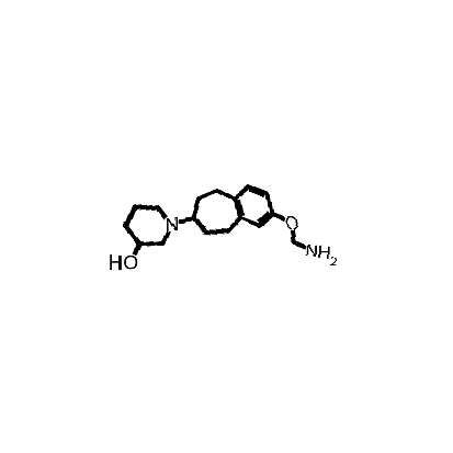 NCOc1ccc2c(c1)CCC(N1CCCC(O)C1)CC2